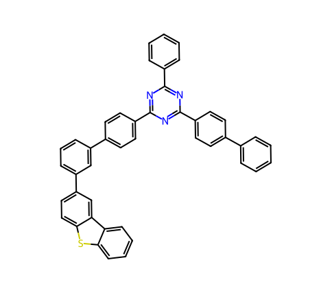 c1ccc(-c2ccc(-c3nc(-c4ccccc4)nc(-c4ccc(-c5cccc(-c6ccc7sc8ccccc8c7c6)c5)cc4)n3)cc2)cc1